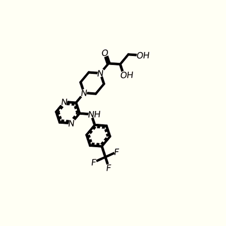 O=C(C(O)CO)N1CCN(c2nccnc2Nc2ccc(C(F)(F)F)cc2)CC1